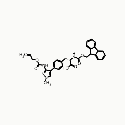 C=CCOC(=O)Nc1nn(C)cc1-c1ccc(C[C@H](NC(=O)OCC2c3ccccc3-c3ccccc32)C(=O)O)cc1